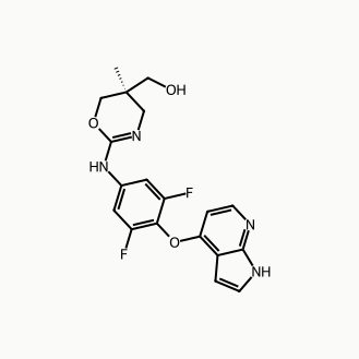 C[C@]1(CO)CN=C(Nc2cc(F)c(Oc3ccnc4[nH]ccc34)c(F)c2)OC1